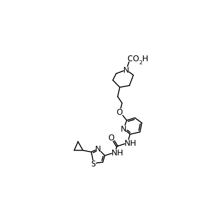 O=C(Nc1cccc(OCCC2CCN(C(=O)O)CC2)n1)Nc1csc(C2CC2)n1